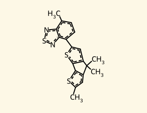 Cc1cc2c(s1)-c1sc(-c3ccc(C)c4nsnc34)cc1C2(C)C